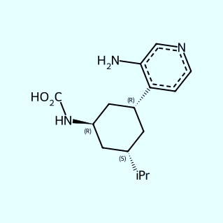 CC(C)[C@@H]1C[C@@H](NC(=O)O)C[C@H](c2ccncc2N)C1